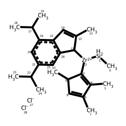 C[SiH2][Zr+2]([C]1=C(C)C(C)=CC1C)[CH]1C(C)=Cc2c(C(C)C)cc(C(C)C)cc21.[Cl-].[Cl-]